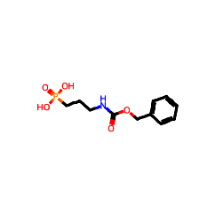 O=C(NCCCP(=O)(O)O)OCc1ccccc1